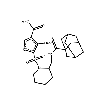 COC(=O)c1csc(S(=O)(=O)N2CCCCC2CNC(=O)C23CC4CC(CC(C4)C2)C3)c1OC